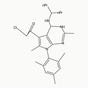 CCCC(CCC)NC1NC(C)=Nc2c1c(C(=O)CCl)c(C)n2-c1c(C)cc(C)cc1C